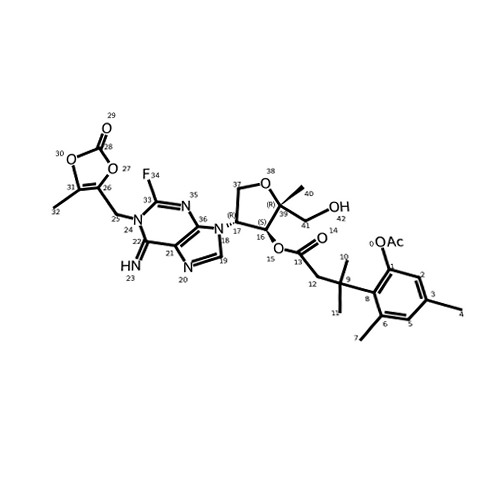 CC(=O)Oc1cc(C)cc(C)c1C(C)(C)CC(=O)O[C@H]1[C@H](n2cnc3c(=N)n(Cc4oc(=O)oc4C)c(F)nc32)CO[C@]1(C)CO